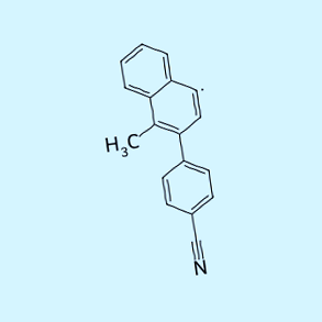 Cc1c(-c2ccc(C#N)cc2)c[c]c2ccccc12